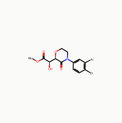 CCc1ccc(N2CCO[C@H]([C@@H](O)C(=O)OC(C)(C)C)C2=O)cc1C(C)=O